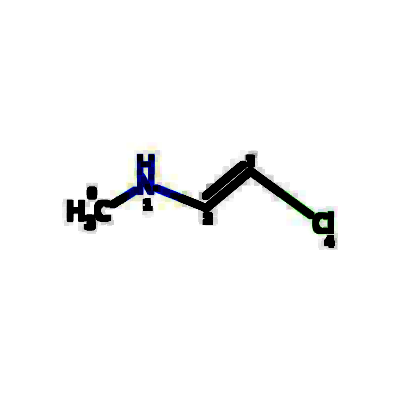 CNC=CCl